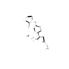 CCc1nccn1Cc1ccc(-c2cc(CC(C)C)sc2S(=O)(=O)NC(=O)OC)cc1F